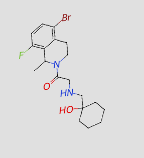 CC1c2c(F)ccc(Br)c2CCN1C(=O)CNCC1(O)CCCCC1